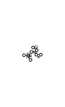 CC1(C)c2ccccc2-c2c1ccc1c2c2ccc3oc4ccccc4c3c2n1-c1cccc(-c2nc(-c3ccccc3)nc(-c3ccccc3)n2)c1